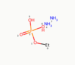 CCOP(=O)(O)O.N.N